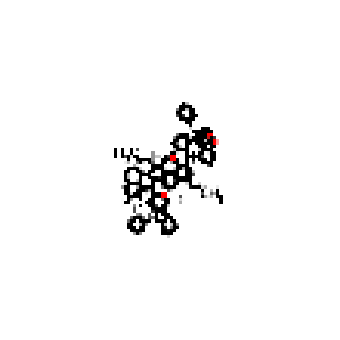 CCCc1cc(N(c2cccc3c2CCCC3)c2c(C)cc3c4ccccc4n(-c4ccccc4)c3c2C)c2ccc3c(CCC)cc(N(c4cccc5c4CCCC5)c4c(C)ccc5c4c4ccccc4n5-c4ccccc4)c4ccc1c2c34